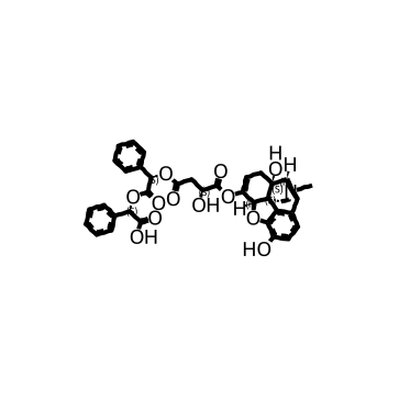 CN1CC[C@]23c4c5ccc(O)c4O[C@H]2C(OC(=O)[C@@H](O)CC(=O)O[C@H](C(=O)O[C@H](C(=O)O)c2ccccc2)c2ccccc2)=CC[C@@]3(O)[C@H]1C5